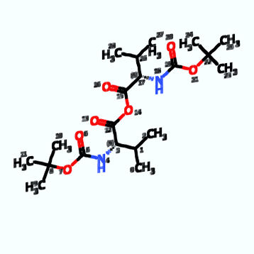 CC(C)[C@H](NC(=O)OC(C)(C)C)C(=O)OC(=O)[C@@H](NC(=O)OC(C)(C)C)C(C)C